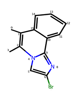 Cc1c(C)n2cc(Br)nc2c2ccccc12